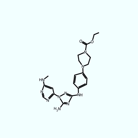 CCOC(=O)N1CCN(c2ccc(Nc3nc(N)n(-c4cc(NC)ncn4)n3)cc2)CC1